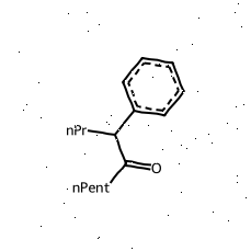 CCCCCC(=O)C(CCC)c1ccccc1